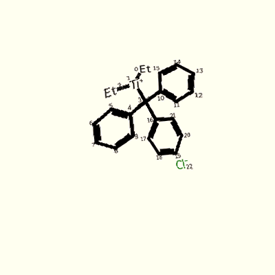 C[CH2][Ti+]([CH2]C)[C](c1ccccc1)(c1ccccc1)c1ccccc1.[Cl-]